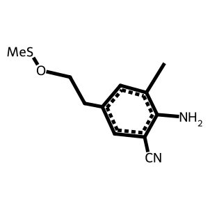 CSOCCc1cc(C)c(N)c(C#N)c1